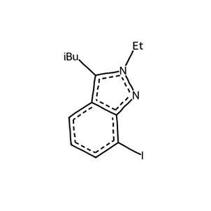 CCC(C)c1c2cccc(I)c2nn1CC